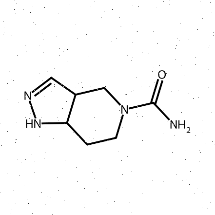 NC(=O)N1CCC2NN=CC2C1